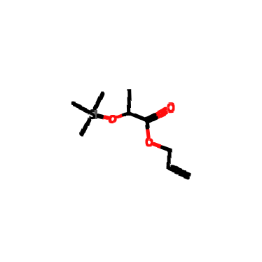 C=CCOC(=O)C(C)O[Si](C)(C)C